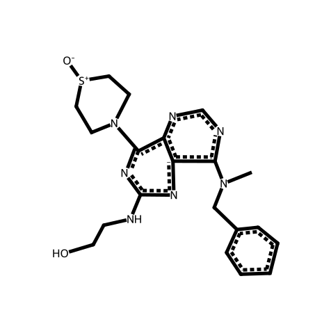 CN(Cc1ccccc1)c1ncnc2c(N3CC[S+]([O-])CC3)nc(NCCO)nc12